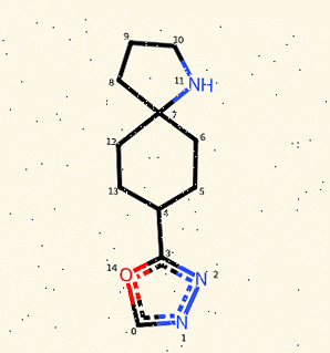 c1nnc(C2CCC3(CCCN3)CC2)o1